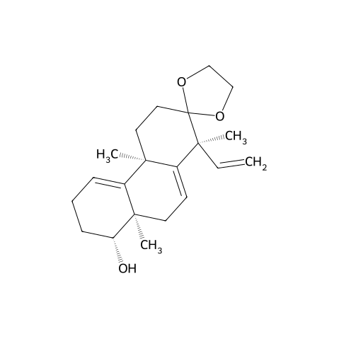 C=C[C@@]1(C)C2=CC[C@]3(C)C(=CCC[C@H]3O)[C@@]2(C)CCC12OCCO2